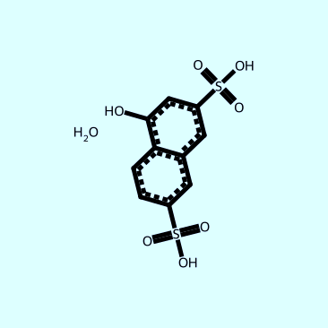 O.O=S(=O)(O)c1ccc2c(O)cc(S(=O)(=O)O)cc2c1